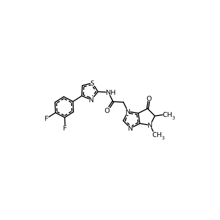 CC1C(=O)c2c(ncn2CC(=O)Nc2nc(-c3ccc(F)c(F)c3)cs2)N1C